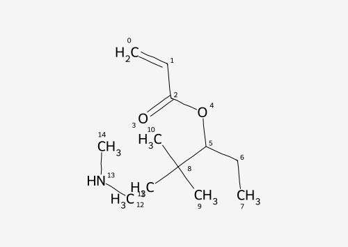 C=CC(=O)OC(CC)C(C)(C)C.CNC